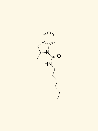 CCCCCCNC(=O)N1c2ccccc2CC1C